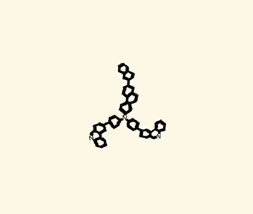 c1ccc2cc(-c3ccc4c(ccc5cc(N(c6ccc(-c7ccc8cnc9ccccc9c8c7)cc6)c6ccc(-c7ccc8cnc9ccccc9c8c7)cc6)ccc54)c3)ccc2c1